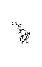 [C-]#[N+][C@H](C)C[C@H]1CC[C@@H]2O[C@@H]3C[C@]2(C=C[C@H]3C)O1